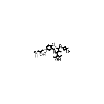 CNC[C@H](O)COc1ccc(Cl)c(-c2nc(-c3c(C)noc3C)c(C)c(N(C)[C@H]3C[C@@](C)(OC)C3)n2)c1